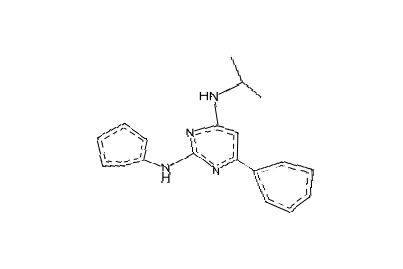 CC(C)Nc1cc(-c2ccccc2)nc(Nc2ccccc2)n1